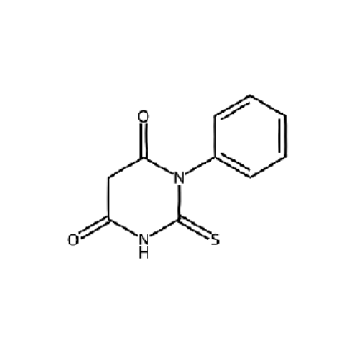 O=C1CC(=O)N(c2ccccc2)C(=S)N1